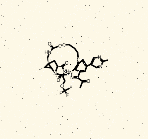 CC(=O)c1nn2c3c(cc(-c4cnc(C)nc4)cc13)CCCCCCC(=O)NC[C@@]13C[C@@H](C(=O)N[C@@H](C)COC(F)(F)F)N(C(=O)C2)C1[C@@H]3C